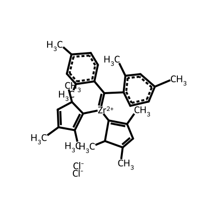 CC1=CC(C)[C]([Zr+2]([C]2=C(C)C=C(C)C2C)=[C](c2ccc(C)cc2C)c2ccc(C)cc2C)=C1C.[Cl-].[Cl-]